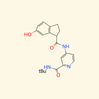 CC(C)(C)NC(=O)c1cc(NC(=O)C2CCc3ccc(O)cc32)ccn1